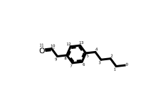 CCCCCc1ccc(C[C]=O)cc1